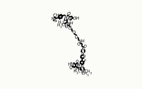 Cc1ncsc1-c1ccc(CNC(=O)[C@@H]2C[C@@H](O)CN2C(=O)C(NC(=O)COCCOCCOCCNC(=O)CCC(=O)N2CCN(c3ccc(-c4cc(NC(=O)c5c[nH]c(=O)cc5C(F)(F)F)c(N5C[C@@H](C)N(C)[C@@H](C)C5)cc4F)cn3)CC2)C(C)(C)C)cc1